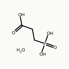 O.O=C(O)CCP(=O)(O)O